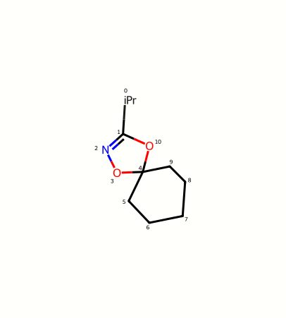 CC(C)C1=NOC2(CCCCC2)O1